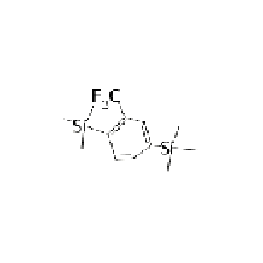 C[Si](C)(C)c1ccc([Si](C)(C)C)c(C(F)(F)F)c1